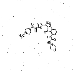 CN1CCN(C(=O)Nc2ccc(C3=C4C(=O)c5c(NC(=O)NN6CCOCC6)cccc5C4N=N3)s2)CC1